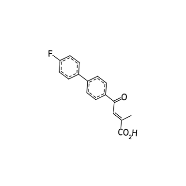 CC(=CC(=O)c1ccc(-c2ccc(F)cc2)cc1)C(=O)O